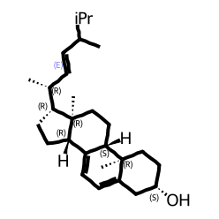 CC(C)C(C)/C=C/[C@@H](C)[C@H]1CC[C@H]2C3=CC=C4C[C@@H](O)CC[C@]4(C)[C@H]3CC[C@]12C